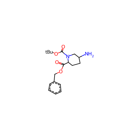 CC(C)(C)OC(=O)N1CC(N)CCC1C(=O)OCc1ccccc1